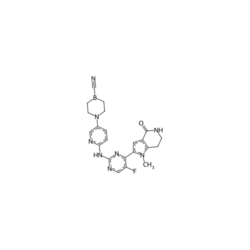 Cn1c(-c2nc(Nc3ccc(N4CCB(C#N)CC4)cn3)ncc2F)cc2c1CCNC2=O